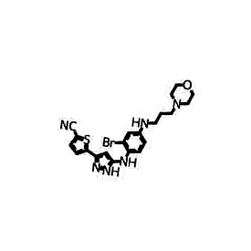 N#Cc1ccc(-c2cc(Nc3ccc(NCCCN4CCOCC4)cc3Br)[nH]n2)s1